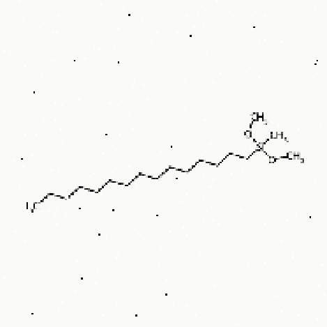 CCCCCCCCCCCCCCC[Si](C)(OC)OC